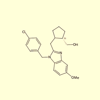 COc1ccc2c(c1)nc(CC1CCC[C@@H]1CO)n2Cc1ccc(Cl)cc1